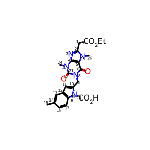 CCOC(=O)Cc1nc2c(c(=O)n(Cc3cc4cc(C)ccc4n3C(=O)O)c(=O)n2C)n1C